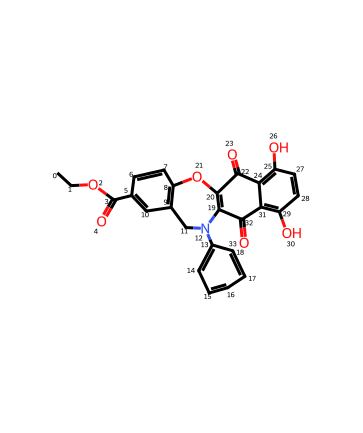 CCOC(=O)c1ccc2c(c1)CN(c1ccccc1)C1=C(O2)C(=O)c2c(O)ccc(O)c2C1=O